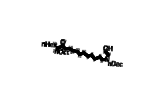 CCCCCCCCCCN(CCO)CCCCCCCCCCCC(=O)C(CCCCCC)CCCCCCCC